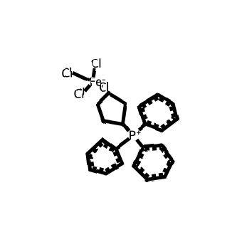 [Cl][Fe-]([Cl])([Cl])[Cl].c1ccc([P+](c2ccccc2)(c2ccccc2)C2CCCC2)cc1